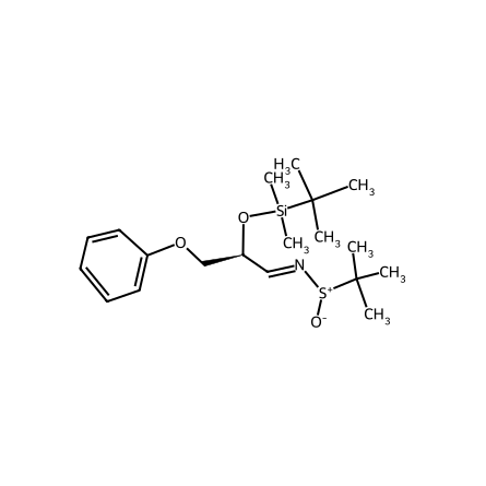 CC(C)(C)[S+]([O-])N=C[C@@H](COc1ccccc1)O[Si](C)(C)C(C)(C)C